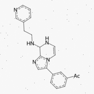 CC(=O)c1cccc(-c2cnc3n2C=CNC3NCCc2cccnc2)c1